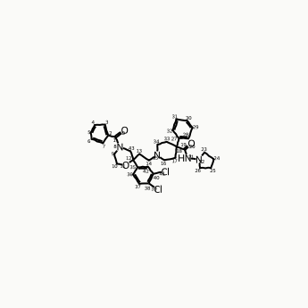 O=C(c1ccccc1)N1CCOC(CCN2CCC(C(=O)NN3CCCC3)(c3ccccc3)CC2)(c2ccc(Cl)c(Cl)c2)C1